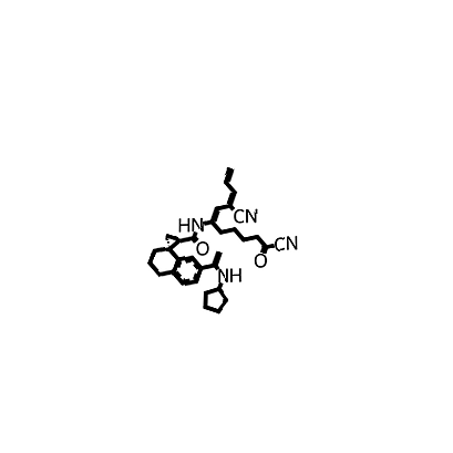 C=C/C=C(C#N)\C=C(/CCCCC(=O)C#N)NC(=O)C1C[C@]12CCCc1ccc(C(=C)NC3CCCC3)cc12